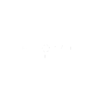 O=C(O)CCc1ccc(OCC2=C(C3CCCC3)CC(F)(F)C2)cc1Cl